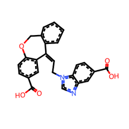 O=C(O)c1ccc2c(c1)C(=CCn1cnc3cc(C(=O)O)ccc31)c1ccccc1CO2